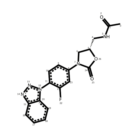 CC(=O)NC[C@H]1CN(c2ccc(-n3nnc4ccccc43)c(F)c2)C(=O)O1